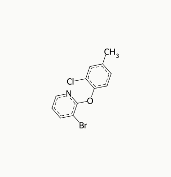 Cc1ccc(Oc2ncccc2Br)c(Cl)c1